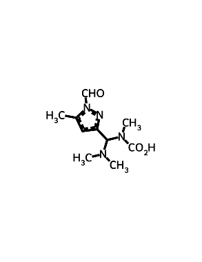 Cc1cc(C(N(C)C)N(C)C(=O)O)nn1C=O